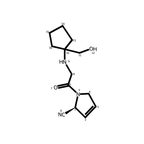 N#C[C@@H]1C=CCN1C(=O)CNC1(CO)CCCC1